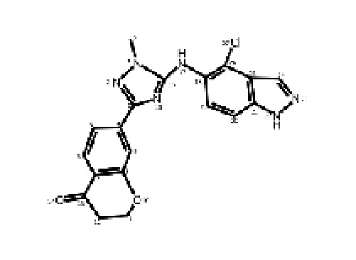 Cn1nc(-c2ccc3c(c2)OCCC3=O)nc1Nc1ccc2[nH]ncc2c1Cl